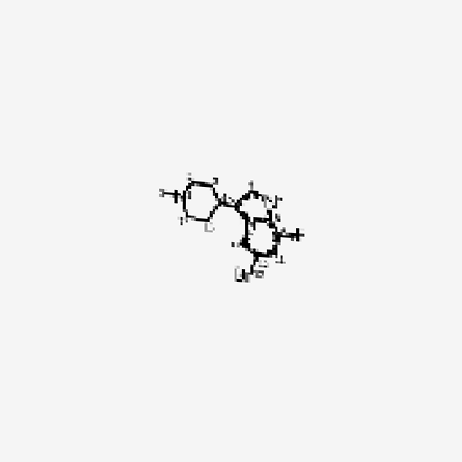 CN1CCC(c2cnc3c(F)cc(Br)cn23)CC1